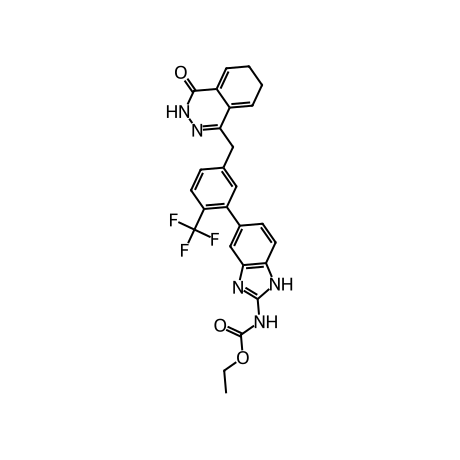 CCOC(=O)Nc1nc2cc(-c3cc(Cc4n[nH]c(=O)c5c4=CCCC=5)ccc3C(F)(F)F)ccc2[nH]1